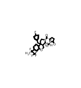 [2H]C([2H])([2H])N1C(=O)CC[C@H]1C(=O)N1CCC2(Cc3ccc(F)cc3)c3ccc(C(C)(F)C(F)(F)F)cc3OCC2C1